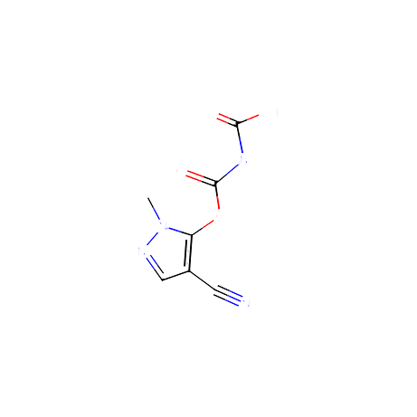 Cn1ncc(C#N)c1OC(=O)NC(=O)O